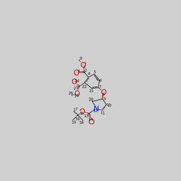 COC(=O)c1ccc(O[C@H]2CCN(C(=O)OC(C)(C)C)C2)cc1C(=O)OC